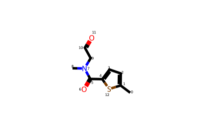 Cc1ccc(C(=O)N(C)CC=O)s1